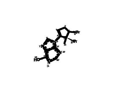 CC(C)C1CC=C(n2cnc3c(O)ncnc32)[C@@]1(C)C(C)C